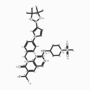 CC1(C)OB(c2ccn(-c3ccc(Cn4c(=O)c(C(F)F)cc5cnc(NC6CCN(S(C)(=O)=O)CC6)nc54)cc3)c2)OC1(C)C